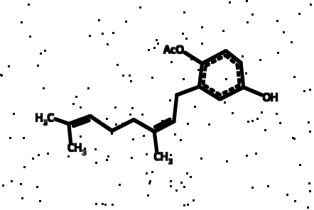 CC(=O)Oc1ccc(O)cc1CC=C(C)CCC=C(C)C